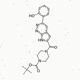 CC(C)(C)OC(=O)N1CCN(C(=O)c2cc3cc(-c4ccccc4O)nnc3[nH]2)CC1